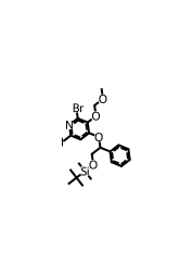 COCOc1c(OC(CO[Si](C)(C)C(C)(C)C)c2ccccc2)cc(I)nc1Br